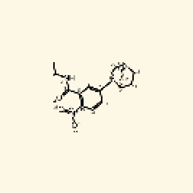 CCNC(=O)c1cc(N2CCN3CCC2CC3)ccc1[N+](=O)[O-]